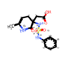 CC1=CCC(CC(=O)O)(NS(=O)(=O)Nc2ccccc2)C(=O)N1